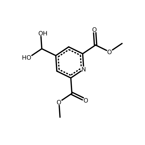 COC(=O)c1cc(C(O)O)cc(C(=O)OC)n1